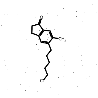 Cc1cc2c(cc1CCCCCCl)CCC2=O